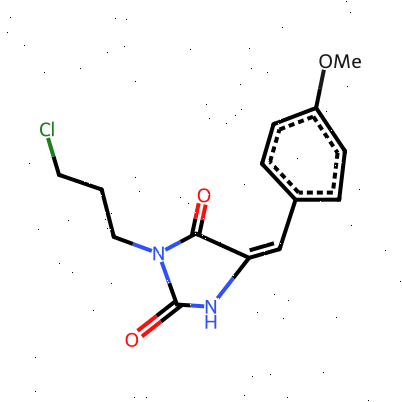 COc1ccc(C=C2NC(=O)N(CCCCl)C2=O)cc1